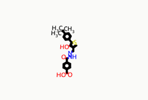 CC(C)(C)c1ccc(-c2scc(C=NNC(=O)c3ccc(C(=O)O)cc3)c2O)cc1